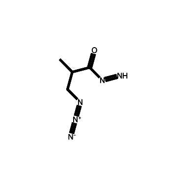 CC(CN=[N+]=[N-])C(=O)N=N